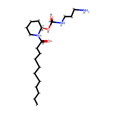 CCCCCCCCCCC(=O)N1CCCC[C@H]1OC(=O)NCCCN